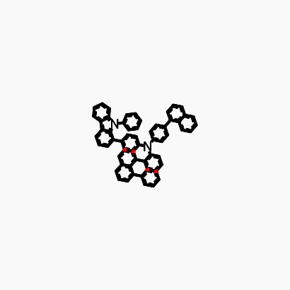 c1ccc(-c2cccc3cccc(-c4ccccc4N(c4ccc(-c5cccc6ccccc56)cc4)c4ccc(-c5cccc6c7ccccc7n(-c7ccccc7)c56)cc4)c23)cc1